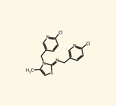 Cc1csc(=NCc2ccc(Cl)nc2)n1Cc1ccc(Cl)nc1